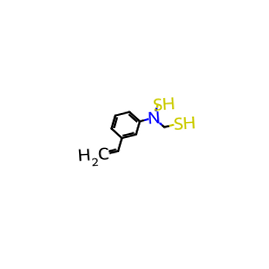 C=Cc1cccc(N(S)CS)c1